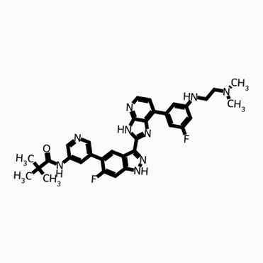 CN(C)CCNc1cc(F)cc(-c2ccnc3[nH]c(-c4n[nH]c5cc(F)c(-c6cncc(NC(=O)C(C)(C)C)c6)cc45)nc23)c1